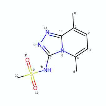 Cc1ccc(C)n2c(NS(C)(=O)=O)nnc12